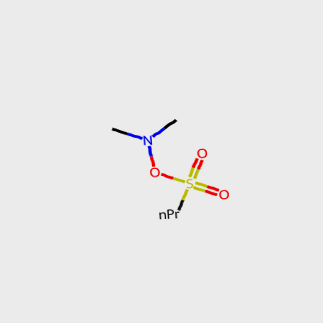 CCCS(=O)(=O)ON(C)C